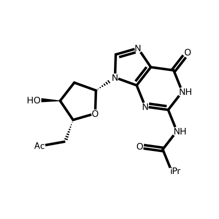 CC(=O)C[C@H]1O[C@@H](n2cnc3c(=O)[nH]c(NC(=O)C(C)C)nc32)C[C@@H]1O